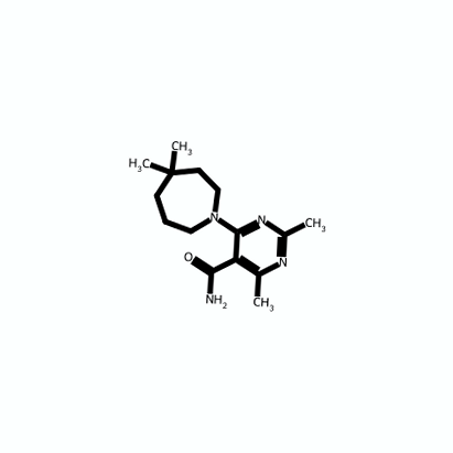 Cc1nc(C)c(C(N)=O)c(N2CCCC(C)(C)CC2)n1